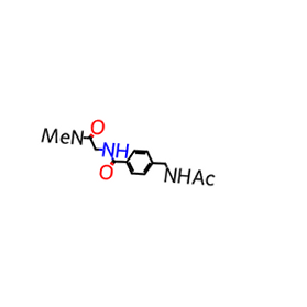 CNC(=O)CNC(=O)c1ccc(CNC(C)=O)cc1